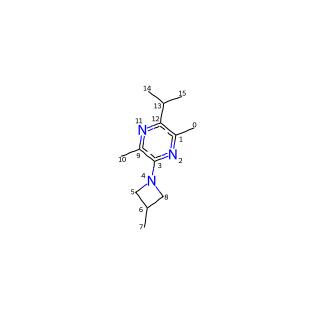 Cc1nc(N2CC(C)C2)c(C)nc1C(C)C